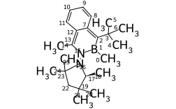 CB1C(C(C)(C)C)=c2ccccc2=C(C)N1N1[C@@H](C)C(C)(C)CC1(C)C